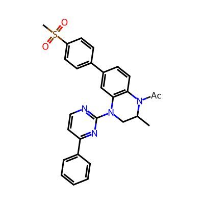 CC(=O)N1c2ccc(-c3ccc(S(C)(=O)=O)cc3)cc2N(c2nccc(-c3ccccc3)n2)CC1C